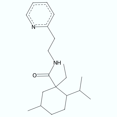 CCC1(C(=O)NCCc2ccccn2)CC(C)CCC1C(C)C